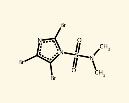 CN(C)S(=O)(=O)n1c(Br)nc(Br)c1Br